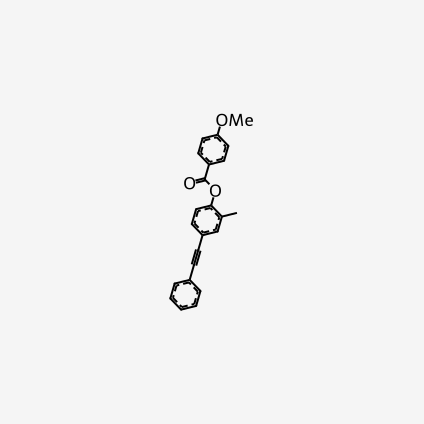 COc1ccc(C(=O)Oc2ccc(C#Cc3ccccc3)cc2C)cc1